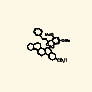 COc1cc(O)c(C(=O)C=Cc2ccccc2)c(OC)c1.O=C(O)C1CC=C2C3=C(CCC2C1)C1CCC2CCCCC2=C1C=C3